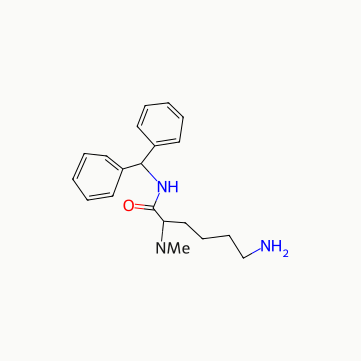 CNC(CCCCN)C(=O)NC(c1ccccc1)c1ccccc1